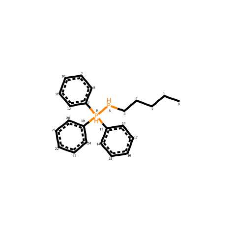 CCCCCP[PH](c1ccccc1)(c1ccccc1)c1ccccc1